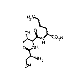 C[C@@H](O)[C@H](NC(=O)[C@@H](N)CS)C(=O)N[C@@H](CCCN)C(=O)O